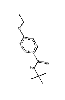 CCOc1ccc(C(=O)NC(C)(C)C)cn1